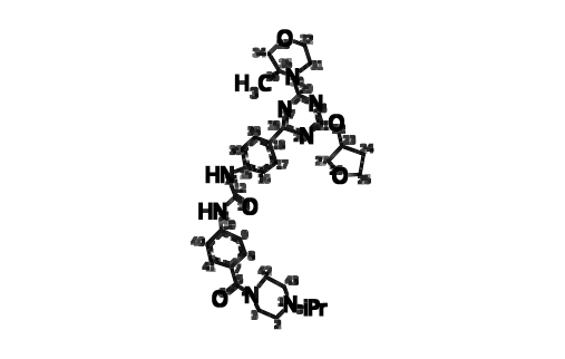 CC(C)N1CCN(C(=O)c2ccc(NC(=O)Nc3ccc(-c4nc(OC5CCOC5)nc(N5CCOCC5C)n4)cc3)cc2)CC1